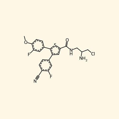 COc1ccc(-c2sc(C(=O)NCC(N)CCl)cc2-c2ccc(C#N)c(F)c2)cc1F